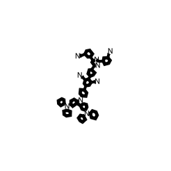 N#Cc1cccc(-c2cc(-c3ccc(-c4c(C#N)cc(-c5ccc(-n6c7ccc(N(c8ccccc8)c8ccccc8)cc7c7cc(N(c8ccccc8)c8ccccc8)ccc76)cc5)cc4C#N)cc3)nc(-c3cccc(C#N)c3)n2)c1